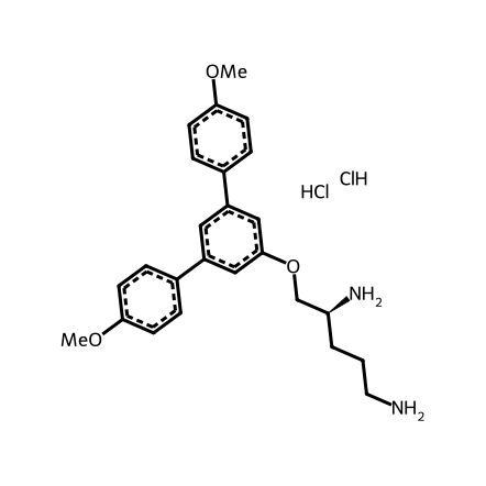 COc1ccc(-c2cc(OC[C@@H](N)CCCN)cc(-c3ccc(OC)cc3)c2)cc1.Cl.Cl